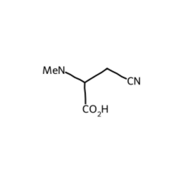 CNC(CC#N)C(=O)O